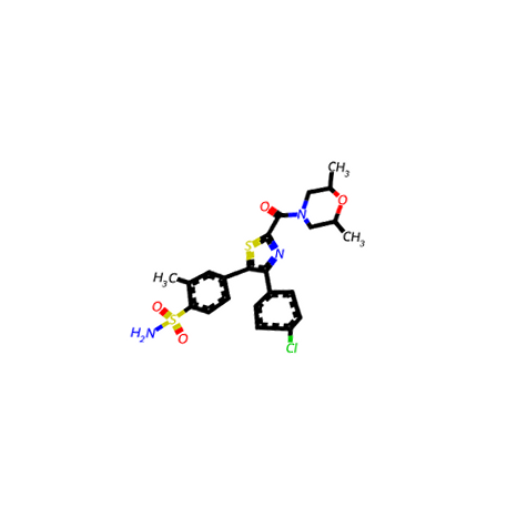 Cc1cc(-c2sc(C(=O)N3CC(C)OC(C)C3)nc2-c2ccc(Cl)cc2)ccc1S(N)(=O)=O